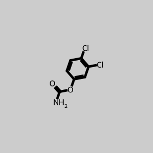 NC(=O)Oc1ccc(Cl)c(Cl)c1